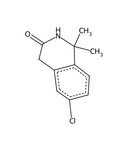 CC1(C)NC(=O)Cc2cc(Cl)ccc21